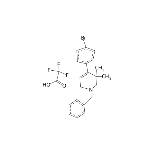 CC1(C)CN(Cc2ccccc2)CC=C1c1ccc(Br)cc1.O=C(O)C(F)(F)F